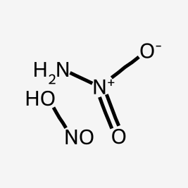 N[N+](=O)[O-].O=NO